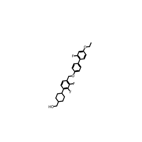 CCOc1ccc(-c2ccc(OCc3ccc(C4CCC(CO)CC4)c(F)c3F)cc2)c(F)c1